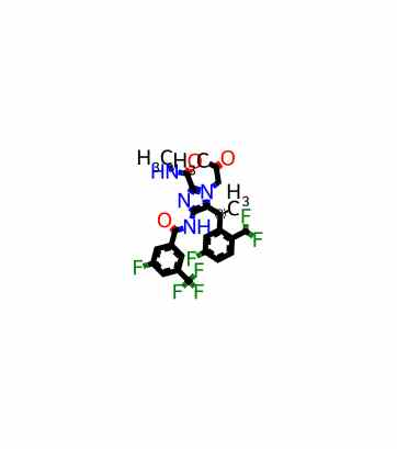 CNC(=O)c1nc(NC(=O)c2cc(F)cc(C(F)(F)F)c2)c([C@H](C)c2cc(F)ccc2C(F)F)n1CC(C)=O